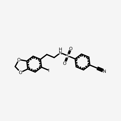 N#Cc1ccc(S(=O)(=O)NCCc2cc3c(cc2I)OCO3)cc1